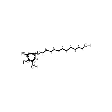 OCCCCCCCCCCCOc1cc(O)c(F)c(F)c1